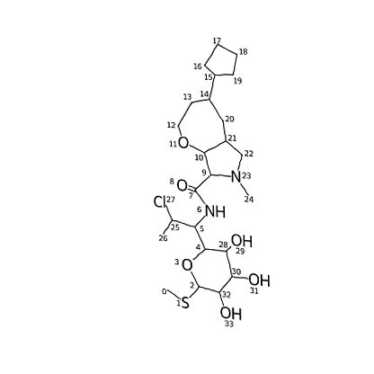 CSC1OC(C(NC(=O)C2C3OCCC(C4CCCC4)CC3CN2C)C(C)Cl)C(O)C(O)C1O